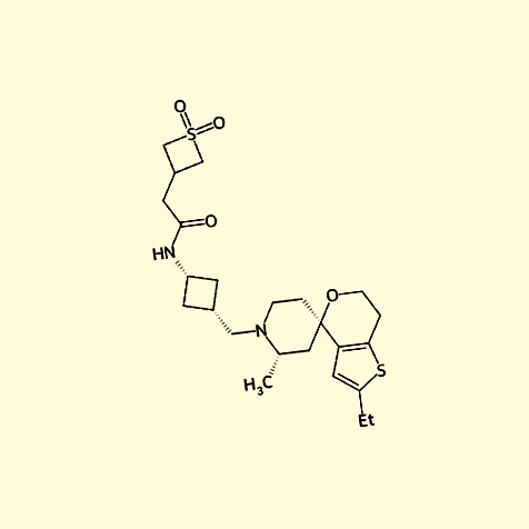 CCc1cc2c(s1)CCO[C@@]21CCN(C[C@H]2C[C@@H](NC(=O)CC3CS(=O)(=O)C3)C2)[C@@H](C)C1